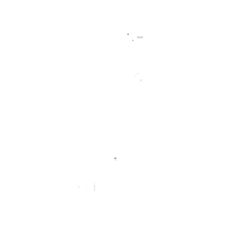 Nc1cc2cc3cc(O)oc3cc2o1